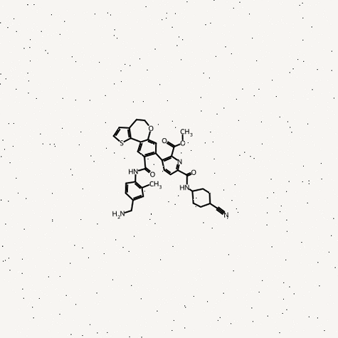 COC(=O)c1nc(C(=O)NC2CCC(C#N)CC2)ccc1-c1cc2c(cc1C(=O)Nc1ccc(CN)cc1C)-c1sccc1CCO2